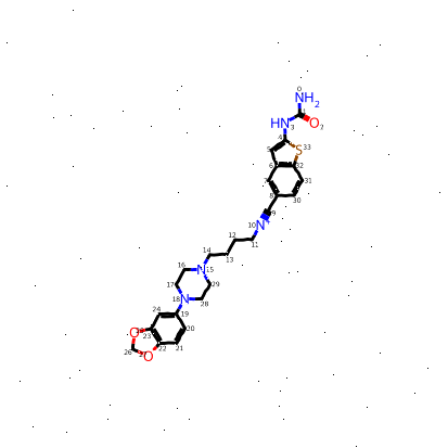 NC(=O)Nc1cc2cc(C#[N+]CCCCN3CCN(c4ccc5c(c4)OCO5)CC3)ccc2s1